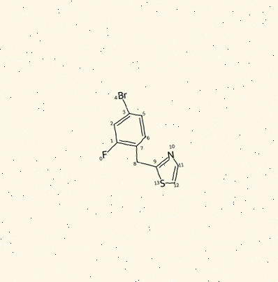 Fc1cc(Br)ccc1Cc1nccs1